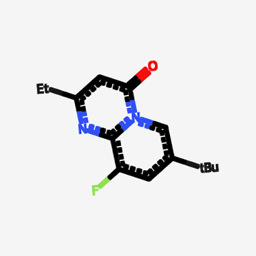 CCc1cc(=O)n2cc(C(C)(C)C)cc(F)c2n1